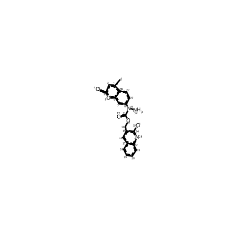 Cc1cc(=O)oc2cc(N(N)C(=O)OCc3cc4ccccc4nc3Cl)ccc12